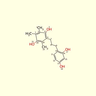 Cc1c(C)c(O)c(CCCc2ccc(O)cc2O)c(C)c1O